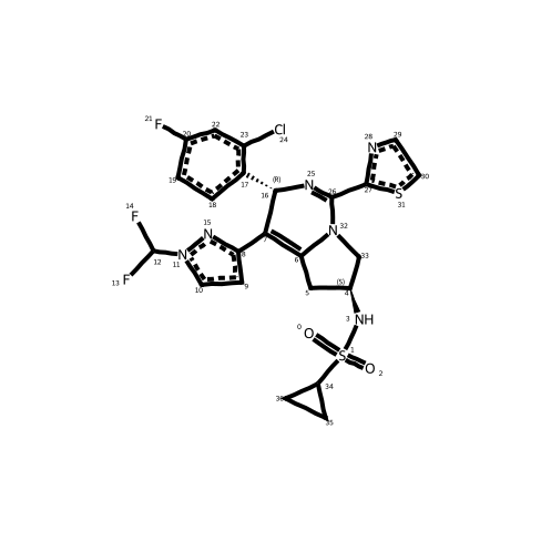 O=S(=O)(N[C@H]1CC2=C(c3ccn(C(F)F)n3)[C@H](c3ccc(F)cc3Cl)N=C(c3nccs3)N2C1)C1CC1